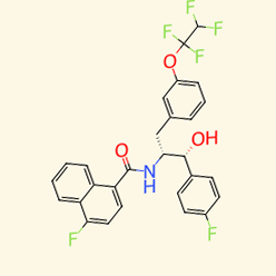 O=C(N[C@H](Cc1cccc(OC(F)(F)C(F)F)c1)[C@H](O)c1ccc(F)cc1)c1ccc(F)c2ccccc12